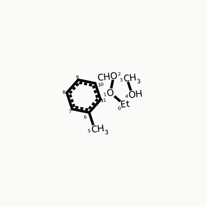 CCOC=O.CO.Cc1ccccc1